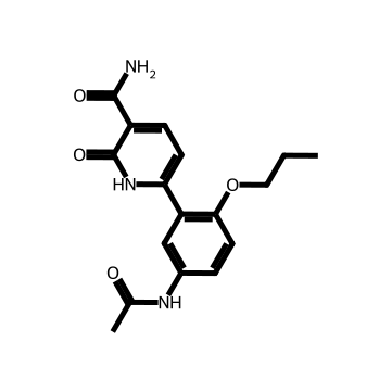 CCCOc1ccc(NC(C)=O)cc1-c1ccc(C(N)=O)c(=O)[nH]1